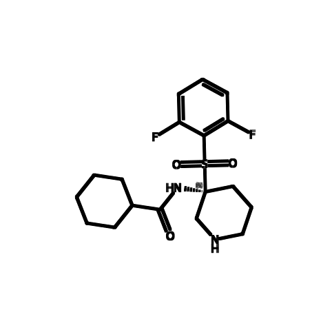 O=C(N[C@]1(S(=O)(=O)c2c(F)cccc2F)CCCNC1)C1CCCCC1